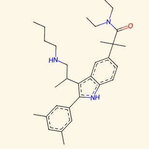 CCCCNCC(C)c1c(-c2cc(C)cc(C)c2)[nH]c2ccc(C(C)(C)C(=O)N(CC)CC)cc12